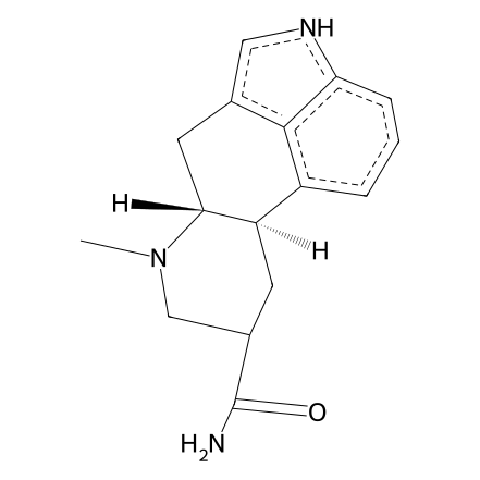 CN1CC(C(N)=O)C[C@@H]2c3cccc4[nH]cc(c34)C[C@H]21